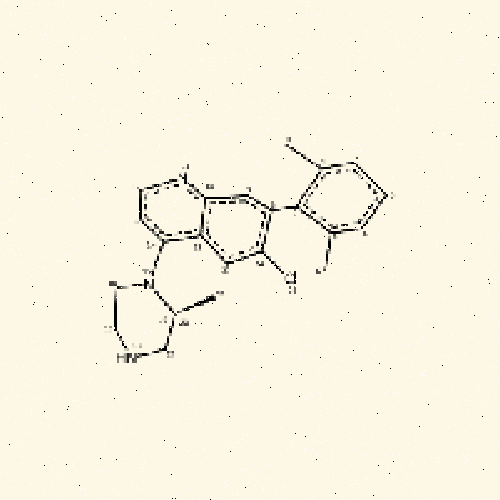 Cc1cccc(C)c1-c1cc2nccc(N3CCNC[C@@H]3C)c2cc1Cl